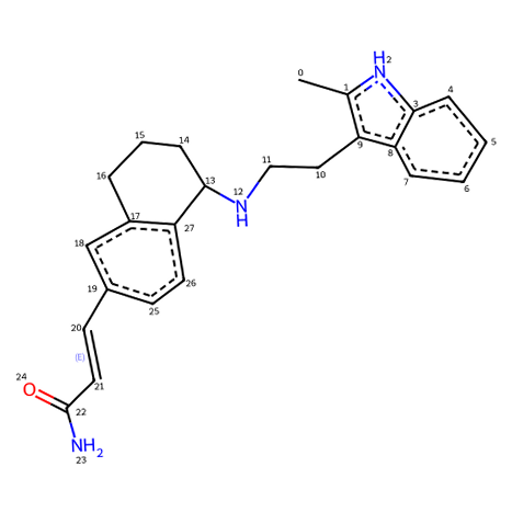 Cc1[nH]c2ccccc2c1CCNC1CCCc2cc(/C=C/C(N)=O)ccc21